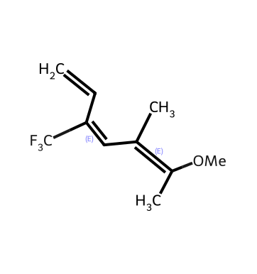 C=C/C(=C\C(C)=C(/C)OC)C(F)(F)F